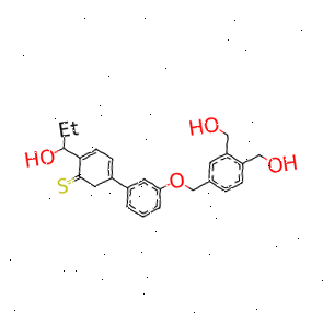 CCC(O)C1=CC=C(c2cccc(OCc3ccc(CO)c(CO)c3)c2)CC1=S